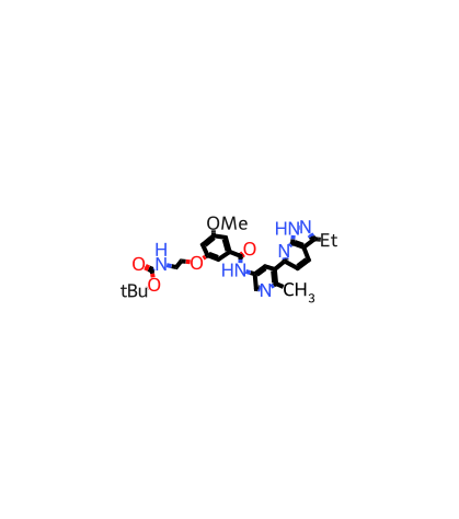 CCc1n[nH]c2nc(-c3cc(NC(=O)c4cc(OC)cc(OCCNC(=O)OC(C)(C)C)c4)cnc3C)ccc12